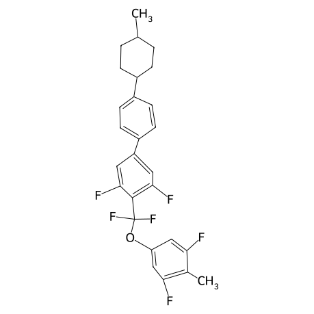 Cc1c(F)cc(OC(F)(F)c2c(F)cc(-c3ccc(C4CCC(C)CC4)cc3)cc2F)cc1F